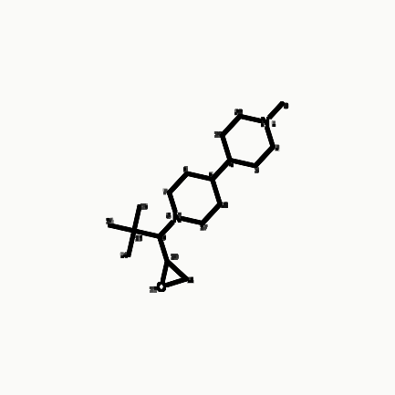 CN1CCC(C2CCN(C(C3CO3)C(C)(C)C)CC2)CC1